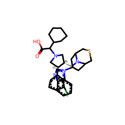 O=C(O)C(C1CCCCC1)N1C[C@H](CN2C3CSCC2CC(n2cnc4ccccc42)C3)[C@@H](c2cccc(F)c2)C1